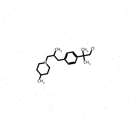 CC1CCN(CC(C)Cc2ccc(C(C)(C)CCl)cc2)CC1